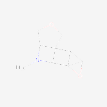 CN1C2COCC23C2C4OC42C13